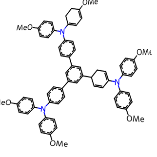 COC1=CC=C(N(c2ccc(OC)cc2)c2ccc(-c3cc(-c4ccc(N(c5ccc(OC)cc5)c5ccc(OC)cc5)cc4)cc(C4C=CC(N(c5ccc(OC)cc5)c5ccc(OC)cc5)=CC4)c3)cc2)CC1